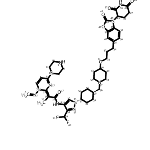 C=NN1C=CC(N2CCNCC2)=N/C1=C(/C)C(=O)Nc1cn([C@H]2CC[C@H](CN3CCC(OCCCc4ccc5c(c4)oc(=O)n5C4CCC(=O)NC4=O)CC3)CC2)nc1C(F)F